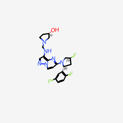 O[C@H]1CCN(CNc2cnn3ccc(N4C[C@@H](F)C[C@@H]4c4cc(F)ccc4F)nc23)C1